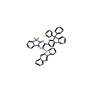 CC1(C)c2ccccc2-c2nc(-n3c4ccccc4c4cc5ccccc5cc43)c(-c3ccc4c(c3)C(c3ccccc3)(c3ccccc3)c3ccccc3-4)nc21